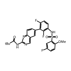 COc1ccc(F)cc1S(=O)(=O)Nc1ccc(F)c(-c2ccc3nc(NC(=O)C(C)(C)C)ncc3c2)c1F